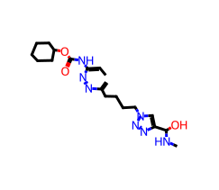 C=C(CCCCn1cc(C(O)NC)nn1)/N=N\C(=C/C)NC(=O)OC1CCCCC1